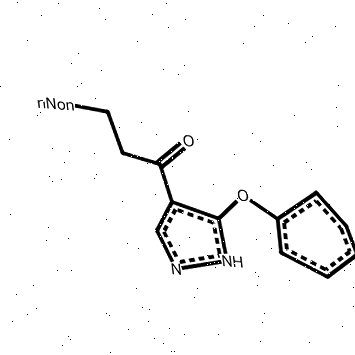 CCCCCCCCCCCC(=O)c1cn[nH]c1Oc1ccccc1